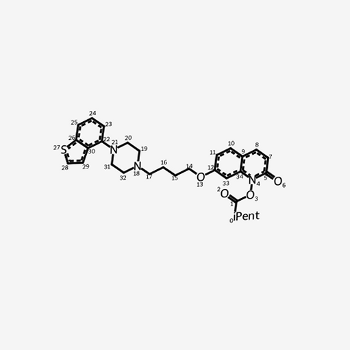 CCCC(C)C(=O)On1c(=O)ccc2ccc(OCCCCN3CCN(c4cccc5sccc45)CC3)cc21